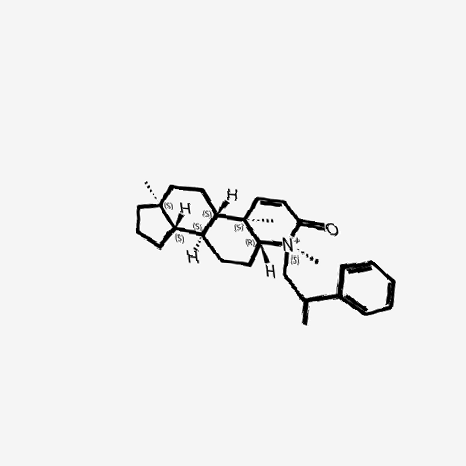 CC(C[N@+]1(C)C(=O)C=C[C@@]2(C)[C@H]1CC[C@H]1[C@@H]3CCC[C@@]3(C)CC[C@@H]12)c1ccccc1